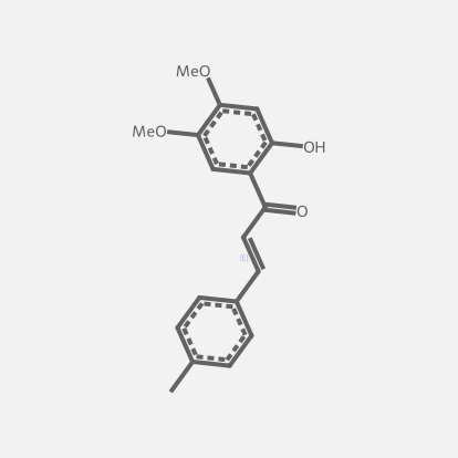 COc1cc(O)c(C(=O)/C=C/c2ccc(C)cc2)cc1OC